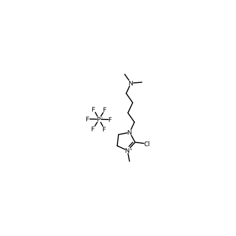 CN(C)CCCCN1CC[N+](C)=C1Cl.F[P-](F)(F)(F)(F)F